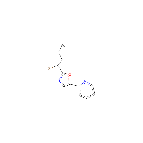 CC(=O)CCC(Br)c1ncc(-c2ccccn2)o1